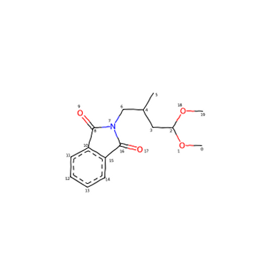 COC(CC(C)CN1C(=O)c2ccccc2C1=O)OC